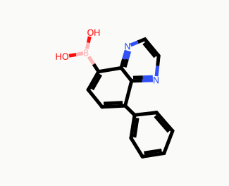 OB(O)c1ccc(-c2ccccc2)c2nccnc12